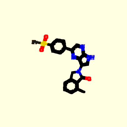 Cc1cccc2c1C(=O)N(c1c[nH]c3ncc(-c4ccc(S(=O)(=O)C(C)C)cc4)nc13)C2